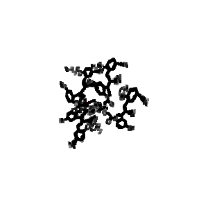 COc1ccc(C#N)cc1/C=C(\C#N)c1cn(C(=O)COP(=O)(OCC(=O)n2cc(/C(C#N)=C/c3cc(C#N)ccc3OC)c3cc(Br)ccc32)OP(=O)(OCC(=O)n2cc(/C(C#N)=C/c3cc(C#N)ccc3OC)c3cc(Br)ccc32)OCC(=O)n2cc(/C(C#N)=C/c3cc(C#N)ccc3OC)c3cc(Br)ccc32)c2ccc(Br)cc12